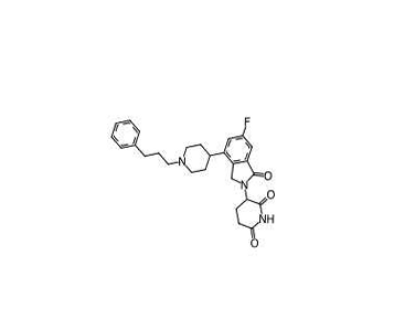 O=C1CCC(N2Cc3c(cc(F)cc3C3CCN(CCCc4ccccc4)CC3)C2=O)C(=O)N1